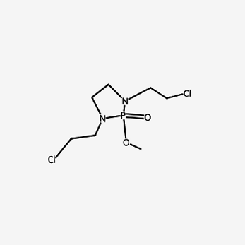 COP1(=O)N(CCCl)CCN1CCCl